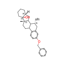 CCC[C@@H]1Cc2cc(OCc3ccccc3)ccc2C2CC[C@@]3(C)C(C[C@H]4CCCC[C@]43O)C21